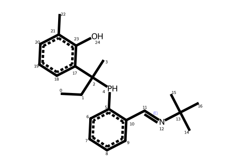 CCC(C)(Pc1ccccc1/C=N/C(C)(C)C)c1cccc(C)c1O